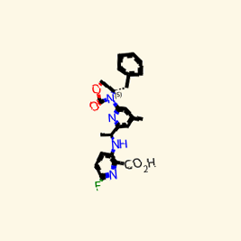 Cc1cc(C(C)Nc2ccc(F)nc2C(=O)O)nc(N2C(=O)OC[C@@H]2Cc2ccccc2)c1